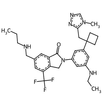 CCCNCc1cc2c(c(C(F)(F)F)c1)CN(c1cc(NCC)cc(C3(Cc4nncn4C)CCC3)c1)C2=O